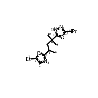 CCc1cnc(C(C)CC(C)(C)c2nnc(C(C)C)o2)o1